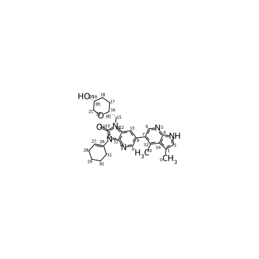 Cc1c[nH]c2ncc(-c3cnc4c(c3)n(C[C@H]3CC[C@@H](O)CO3)c(=O)n4C3=CCCCC3)c(C)c12